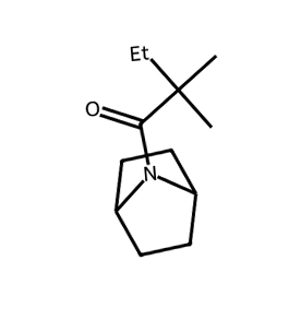 CCC(C)(C)C(=O)N1C2CCC1CC2